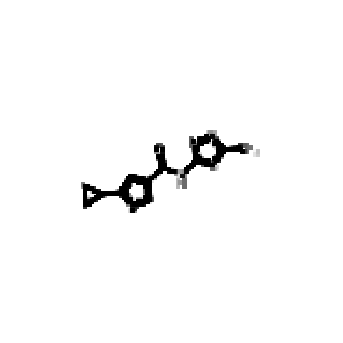 Cc1nnc(NC(=O)c2csc(C3CC3)c2)s1